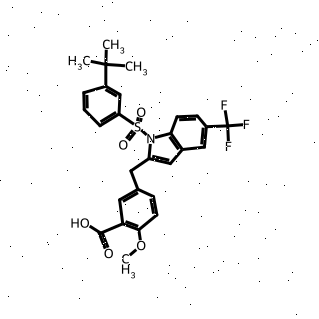 COc1ccc(Cc2cc3cc(C(F)(F)F)ccc3n2S(=O)(=O)c2cccc(C(C)(C)C)c2)cc1C(=O)O